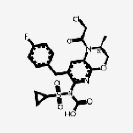 C[C@H]1COc2nc(N(C(=O)O)S(=O)(=O)C3CC3)c(Cc3ccc(F)cc3)cc2N1C(=O)CCl